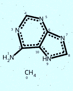 C.Nc1ncnc2nc[nH]c12